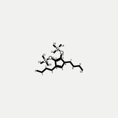 CCCCC1=CC(CCCC)C(O[Si](C)(C)C)=C1O[Si](C)(C)C